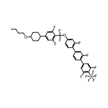 CCCCOC1CCC(c2cc(F)c(C(F)(F)Oc3ccc(-c4ccc(-c5cc(F)c(S(F)(F)(F)(F)F)c(F)c5)c(F)c4)c(F)c3)c(F)c2)CC1